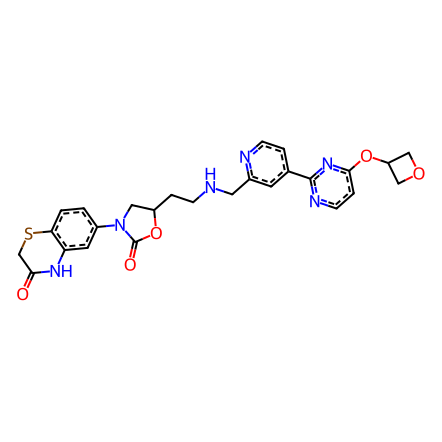 O=C1CSc2ccc(N3CC(CCNCc4cc(-c5nccc(OC6COC6)n5)ccn4)OC3=O)cc2N1